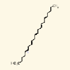 CC=CCC=CCC=CCC=CCC=CC/C=C/CCCC(=O)O